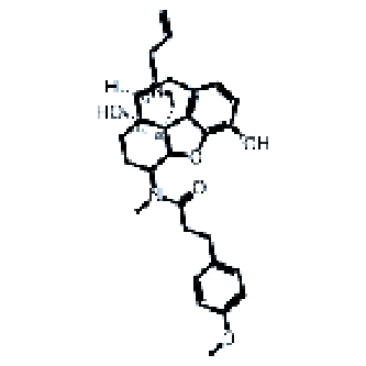 C=CCN1CC[C@]23c4c5ccc(O)c4OC2C(N(C)C(=O)CCc2ccc(OC)cc2)CC[C@@]3(O)[C@H]1C5